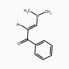 CC(=O)C(=CN(C)C)C(=O)c1ccccc1